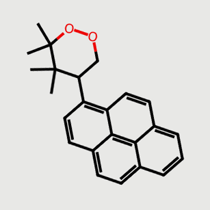 CC1(C)OOCC(c2ccc3ccc4cccc5ccc2c3c45)C1(C)C